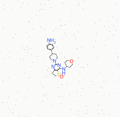 Nc1ccc(C2CCN(c3nc4c(c(NC5CCOCC5)n3)[S+]([O-])CC4)CC2)cc1